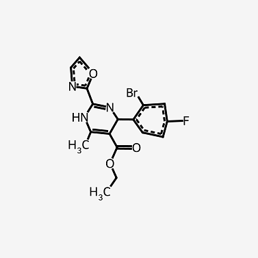 CCOC(=O)C1=C(C)NC(c2ncco2)=NC1c1ccc(F)cc1Br